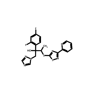 CC(Sc1nc(-c2ccccn2)ns1)C(O)(Cn1cncn1)c1ccc(F)cc1F